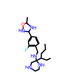 CCCC(CC)C1(NCc2ccc(C3NOC(C)N3)cc2F)CNCCN1